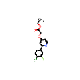 CCOC(=O)COc1ccnc(-c2ccc(Cl)c(F)c2)c1